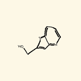 OCc1cc2ncccc2s1